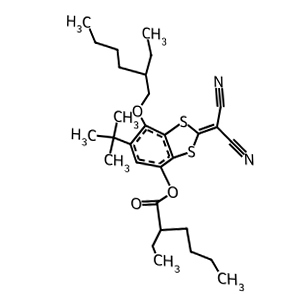 CCCCC(CC)COc1c(C(C)(C)C)cc(OC(=O)C(CC)CCCC)c2c1SC(=C(C#N)C#N)S2